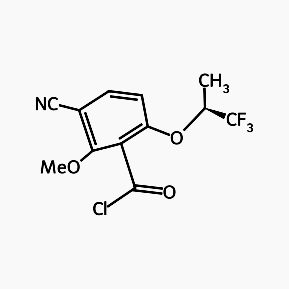 COc1c(C#N)ccc(O[C@@H](C)C(F)(F)F)c1C(=O)Cl